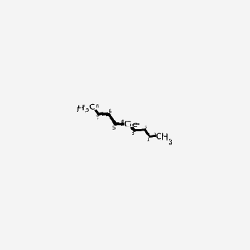 CCC[CH2][Ge][CH2]CCC